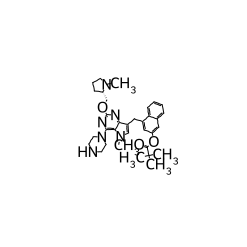 CN1CCC[C@H]1COc1nc(N2CCNCC2)c2c(n1)c(Cc1cc(OC(=O)C(C)(C)C)cc3ccccc13)cn2C